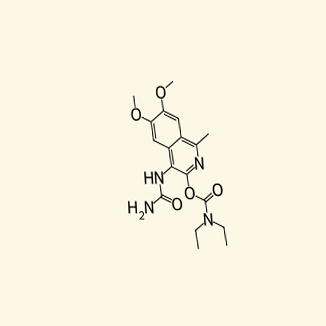 CCN(CC)C(=O)Oc1nc(C)c2cc(OC)c(OC)cc2c1NC(N)=O